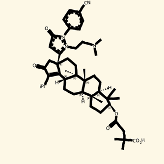 CC(C)C1=C2[C@H]3CC[C@@H]4[C@@]5(C)CC[C@H](OC(=O)CC(C)(C)C(=O)O)C(C)(C)[C@@H]5CC[C@@]4(C)[C@]3(C)CC[C@@]2(c2cc(=O)n(-c3ccc(C#N)cc3)n2CCN(C)C)CC1=O